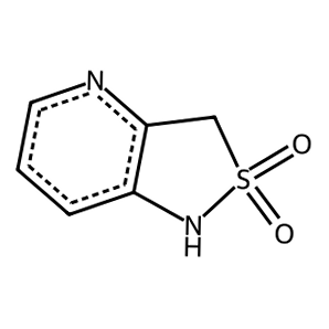 O=S1(=O)Cc2ncccc2N1